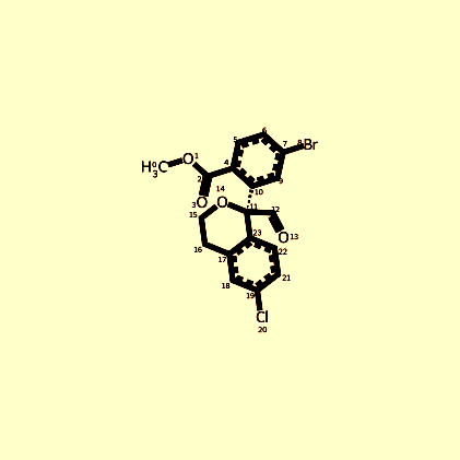 COC(=O)c1ccc(Br)cc1[C@@]1(C=O)OCCc2cc(Cl)ccc21